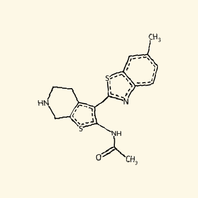 CC(=O)Nc1sc2c(c1-c1nc3ccc(C)cc3s1)CCNC2